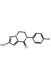 O=C1c2cc(O)nn2CCN1c1ccc(F)cc1